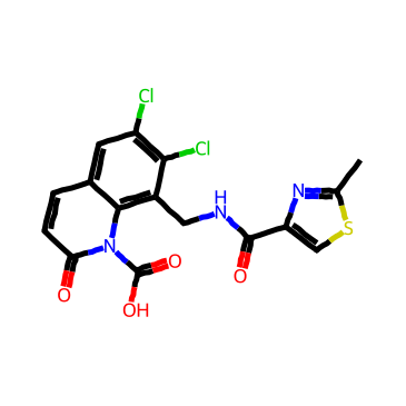 Cc1nc(C(=O)NCc2c(Cl)c(Cl)cc3ccc(=O)n(C(=O)O)c23)cs1